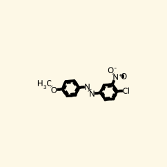 COc1ccc(N=Nc2ccc(Cl)c([N+](=O)[O-])c2)cc1